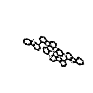 c1ccc([Si](c2ccccc2)(c2nccc3c2oc2c(-c4nccc5c4sc4ccccc45)cccc23)c2nccc3c2sc2c(-c4cccc5c4sc4ccccc45)cccc23)cc1